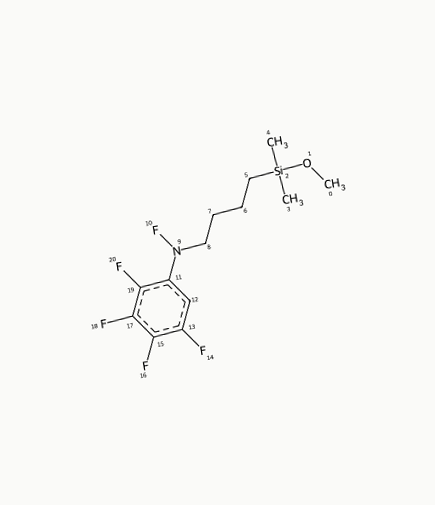 CO[Si](C)(C)CCCCN(F)c1cc(F)c(F)c(F)c1F